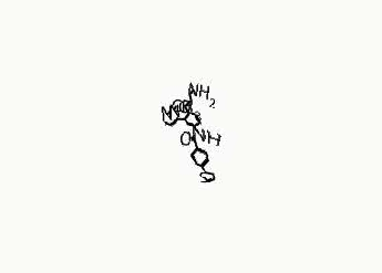 Cn1nccc1-c1cc(NC(=O)c2ccc(-c3cccs3)cc2)ccc1OCCN